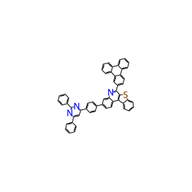 c1ccc(-c2cc(-c3ccc(-c4ccc5c(c4)nc(-c4ccc6c7ccccc7c7ccccc7c6c4)c4sc6ccccc6c45)cc3)nc(-c3ccccc3)n2)cc1